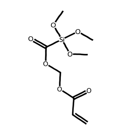 C=CC(=O)OCOC(=O)[Si](OC)(OC)OC